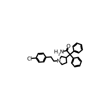 NC(=O)C(c1ccccc1)(c1ccccc1)C1CCN(CCc2ccc(Cl)cc2)C1